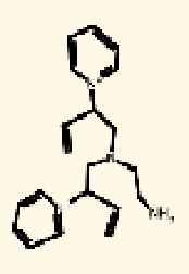 C=CC(CN(CCN)CC(C=C)[n+]1ccccc1)[n+]1ccccc1